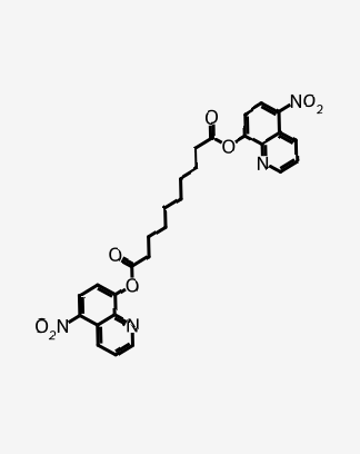 O=C(CCCCCCCCC(=O)Oc1ccc([N+](=O)[O-])c2cccnc12)Oc1ccc([N+](=O)[O-])c2cccnc12